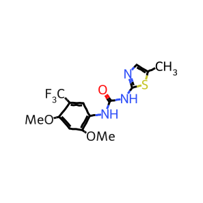 COc1cc(OC)c(C(F)(F)F)cc1NC(=O)Nc1ncc(C)s1